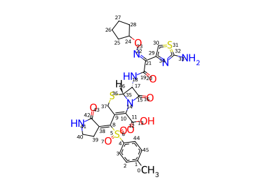 Cc1ccc(S(=O)(=O)C(C2=C(C(=O)O)N3C(=O)[C@@H](NC(=O)C(=NOC4CCCC4)c4csc(N)n4)[C@H]3SC2)=C2CCNC2=O)cc1